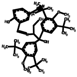 CCC(N=Cc1cc(C#N)ccc1O)C(O)(c1cc(C(C)(C)C)c(OC)c(C(C)(C)C)c1)c1cc(C(C)(C)C)c(OC)c(C(C)(C)C)c1